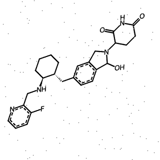 O=C1CCC(N2Cc3cc(C[C@H]4CCCC[C@@H]4NCc4ncccc4F)ccc3C2O)C(=O)N1